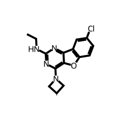 CCNc1nc(N2C[CH]C2)c2oc3ccc(Cl)cc3c2n1